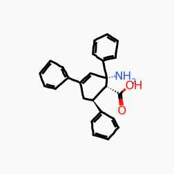 N[C@@]1(c2ccccc2)C=C(c2ccccc2)C[C@H](c2ccccc2)[C@H]1C(=O)O